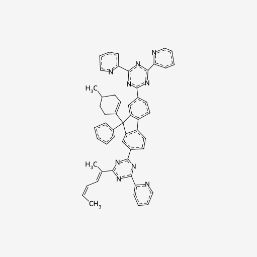 C/C=C\C=C(/C)c1nc(-c2ccc3c(c2)C(C2=CCC(C)CC2)(c2ccccc2)c2cc(-c4nc(-c5ccccn5)nc(-c5ccccn5)n4)ccc2-3)nc(-c2ccccn2)n1